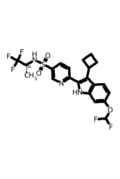 C[C@@H](NS(=O)(=O)c1ccc(-c2[nH]c3cc(OC(F)F)ccc3c2C2CCC2)nc1)C(F)(F)F